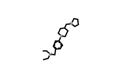 CCN(CC)Cc1ccc(N2CCC(CN3CCCC3)CC2)cc1